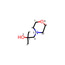 CC(C)(O)CN1CCOCC1